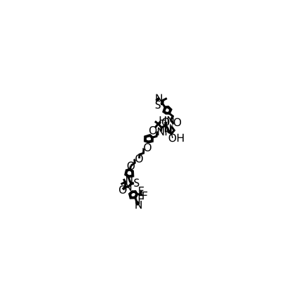 Cc1ncsc1-c1ccc(CNC(=O)[C@@H]2C[C@@H](O)CN2C(=O)C(NC(=O)Cc2cccc(OCCCOCCOc3ccc(N4C(=S)N(c5ccc(C#N)c(C(F)(F)F)c5)C(=O)C4(C)C)cc3)c2)C(C)(C)C)cc1